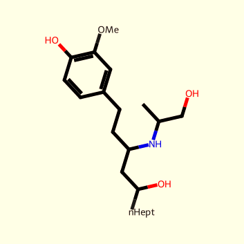 CCCCCCCC(O)CC(CCc1ccc(O)c(OC)c1)NC(C)CO